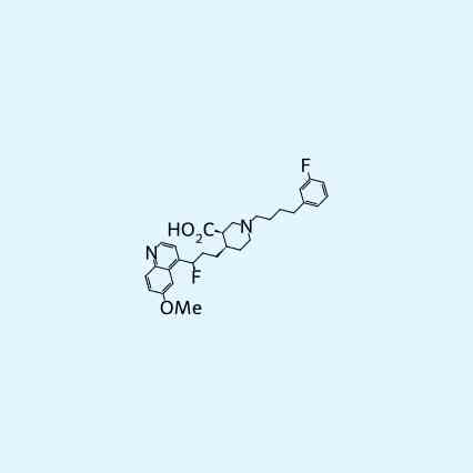 COc1ccc2nccc([C@H](F)CC[C@@H]3CCN(CCCCc4cccc(F)c4)C[C@@H]3C(=O)O)c2c1